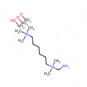 C[N+](C)(C)CCCCCC[N+](C)(C)CN.O=[N+]([O-])O.O=[N+]([O-])[O-].O=[N+]([O-])[O-]